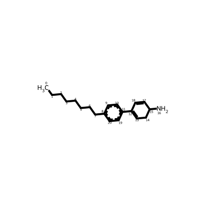 CCCCCCCCc1ccc(C2=CCC(N)C=C2)cc1